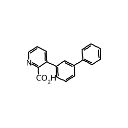 O=C(O)c1ncccc1-c1cccc(-c2ccccc2)c1